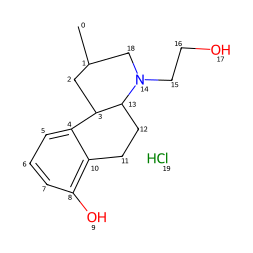 CC1CC2c3cccc(O)c3CCC2N(CCO)C1.Cl